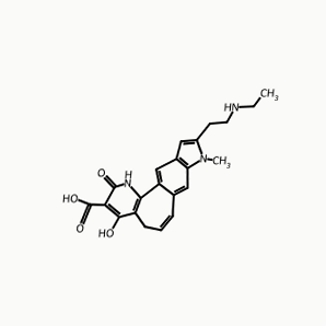 CCNCCc1cc2cc3c(cc2n1C)C=CCc1c-3[nH]c(=O)c(C(=O)O)c1O